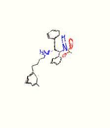 CC1=CCC=C(CCCCN[C@H](c2ccccc2)[C@@H](NS(C)(=O)=O)c2ccccc2)C1